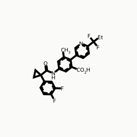 CCC(F)(F)c1ccc(-c2c(C)cc(NC(=O)C3(c4ccc(F)c(F)c4)CC3)cc2C(=O)O)cn1